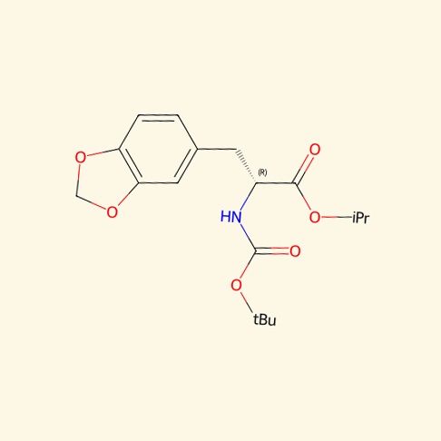 CC(C)OC(=O)[C@@H](Cc1ccc2c(c1)OCO2)NC(=O)OC(C)(C)C